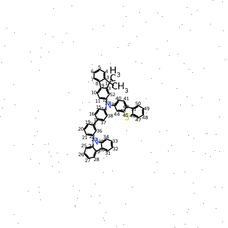 CC1(C)c2ccccc2-c2ccc(N(c3ccc(-c4cccc(-n5c6ccccc6c6ccccc65)c4)cc3)c3ccc4c(c3)sc3ccccc34)cc21